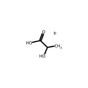 CC(O)C(=O)O.[Ir]